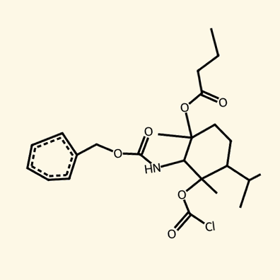 CCCC(=O)OC1(C)CCC(C(C)C)C(C)(OC(=O)Cl)C1NC(=O)OCc1ccccc1